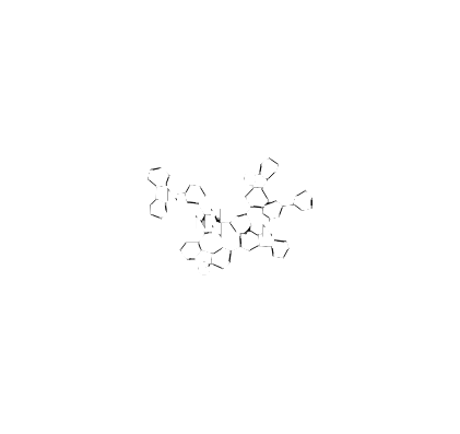 c1ccc(-c2cccc(-n3c4ccccc4c4cc(-c5ccc6oc7cccc(-c8nc(-c9cccc(-c%10ccc%11c(c%10)oc%10ccccc%10%11)c9)nc(-c9cccc(-n%10c%11ccccc%11c%11ccccc%11%10)c9)n8)c7c6c5)ccc43)c2)cc1